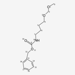 COCOCCCCNC(=O)OCc1[c]cccc1